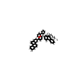 CC1(C)c2ccccc2-c2ccc(N(c3ccc(-c4ccc5ccc6c7ccccc7ccc6c5c4)cc3)c3ccccc3-c3ccccc3)cc21